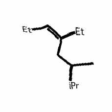 CCC=C(CC)CC(C)C(C)C